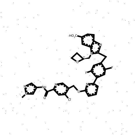 Cn1cc(NC(=O)c2cc(Cl)c(COc3cccc(-c4cc(F)c(Cc5nc6ccc(C(=O)O)cc6n5C[C@@H]5CCO5)cc4F)n3)cn2)cn1